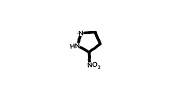 O=[N+]([O-])C1CC[N]N1